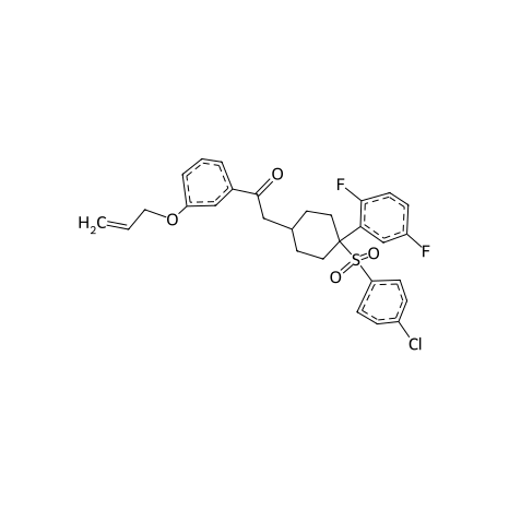 C=CCOc1cccc(C(=O)CC2CCC(c3cc(F)ccc3F)(S(=O)(=O)c3ccc(Cl)cc3)CC2)c1